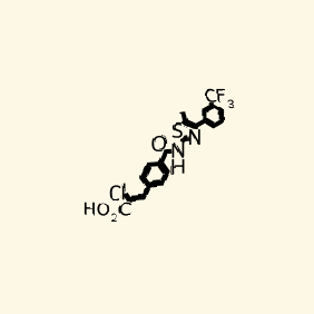 Cc1sc(NC(=O)c2ccc(/C=C(\Cl)C(=O)O)cc2)nc1-c1cccc(C(F)(F)F)c1